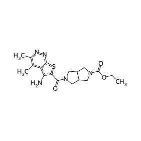 CCOC(=O)N1CC2CN(C(=O)c3sc4nnc(C)c(C)c4c3N)CC2C1